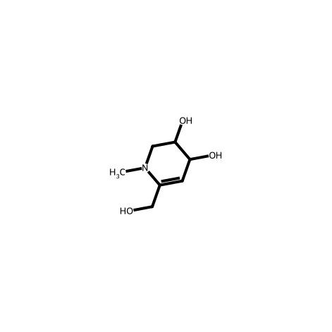 CN1CC(O)C(O)C=C1CO